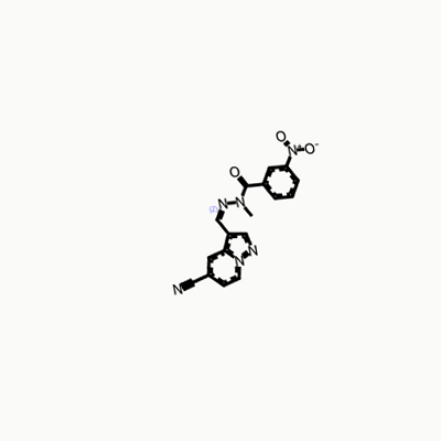 CN(/N=C\c1cnn2ccc(C#N)cc12)C(=O)c1cccc([N+](=O)[O-])c1